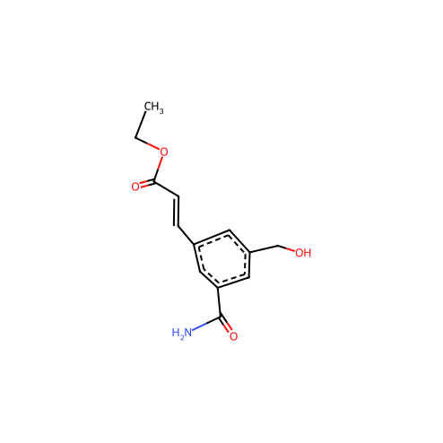 CCOC(=O)/C=C/c1cc(CO)cc(C(N)=O)c1